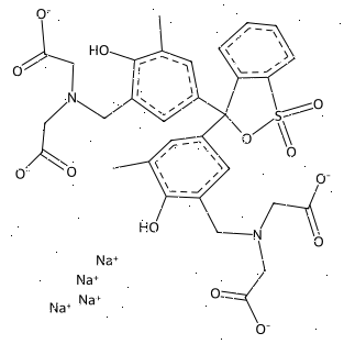 Cc1cc(C2(c3cc(C)c(O)c(CN(CC(=O)[O-])CC(=O)[O-])c3)OS(=O)(=O)c3ccccc32)cc(CN(CC(=O)[O-])CC(=O)[O-])c1O.[Na+].[Na+].[Na+].[Na+]